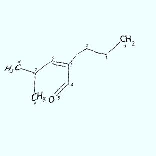 CCCC(C=O)=CC(C)C